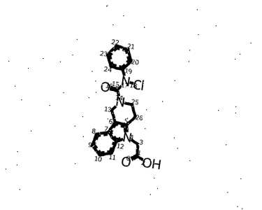 O=C(O)Cn1c2c(c3ccccc31)CN(C(=O)N(Cl)c1ccccc1)CC2